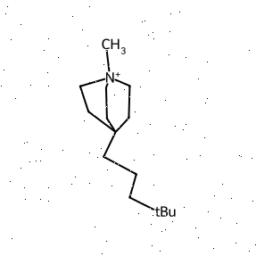 CC(C)(C)CCCC12CC[N+](C)(CC1)CC2